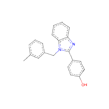 Cc1cccc(Cn2c(-c3ccc(O)cc3)nc3ccccc32)c1